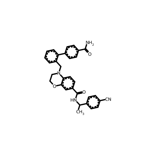 CC(NC(=O)c1ccc2c(c1)OCCN2Cc1ccccc1-c1ccc(C(N)=O)cc1)c1ccc(C#N)cc1